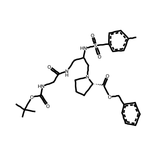 Cc1ccc(S(=O)(=O)NC(CNC(=O)CNC(=O)OC(C)(C)C)CN2CCC[C@H]2C(=O)OCc2ccccc2)cc1